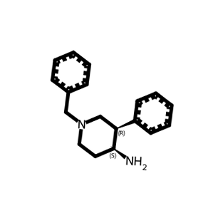 N[C@H]1CCN(Cc2ccccc2)C[C@H]1c1ccccc1